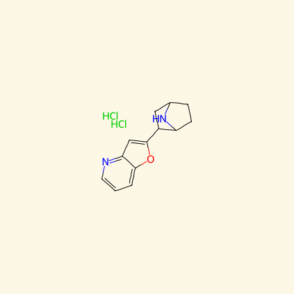 Cl.Cl.c1cnc2cc(C3CC4CCC3N4)oc2c1